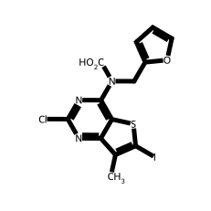 Cc1c(I)sc2c(N(Cc3ccco3)C(=O)O)nc(Cl)nc12